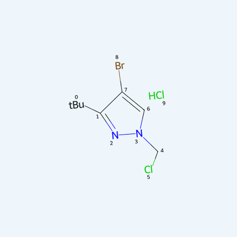 CC(C)(C)c1nn(CCl)cc1Br.Cl